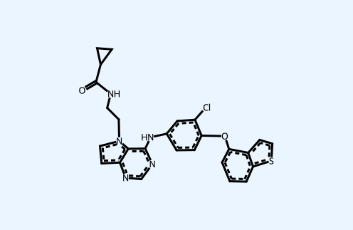 O=C(NCCn1ccc2ncnc(Nc3ccc(Oc4cccc5sccc45)c(Cl)c3)c21)C1CC1